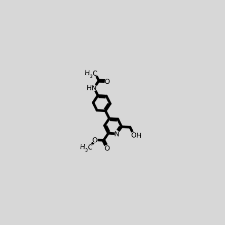 COC(=O)c1cc(C2=CC=C(NC(C)=O)CC2)cc(CO)n1